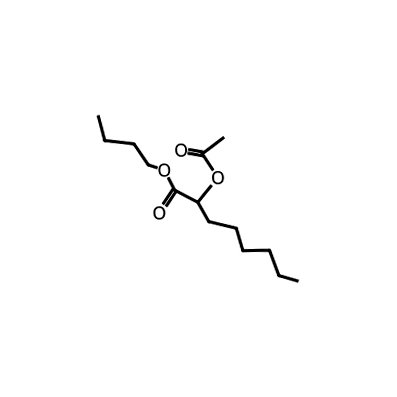 CCCCCCC(OC(C)=O)C(=O)OCCCC